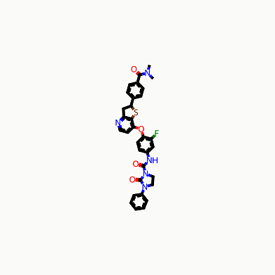 CN(C)C(=O)c1ccc(C2Cc3nccc(Oc4ccc(NC(=O)N5CCN(c6ccccc6)C5=O)cc4F)c3S2)cc1